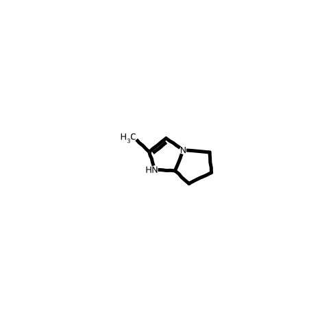 CC1=CN2CCCC2N1